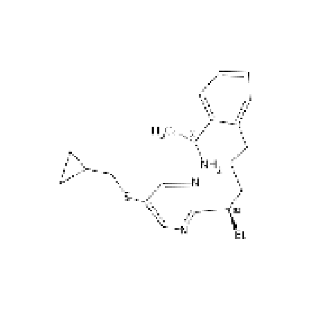 CC[C@H](CCCc1ccccc1[C@@H](C)N)c1ncc(SCC2CC2)cn1